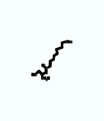 CCCCCCCCCCCCCCCCC=C/[P+]([O-])=N/C(CO)C(=O)O